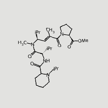 COC(=O)[C@@H]1CCCN1C(=O)/C(C)=C/[C@H](C(C)C)N(C)C(=O)[C@@H](NC(=O)C1CCCCN1C(C)C)C(C)C